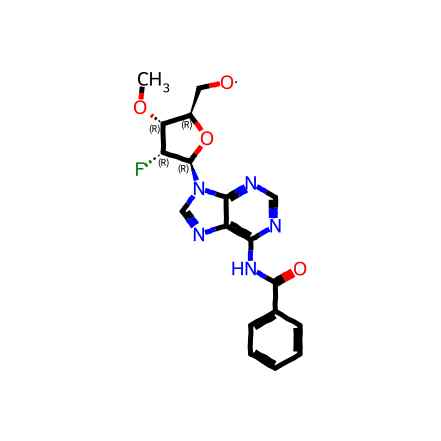 CO[C@H]1[C@@H](F)[C@H](n2cnc3c(NC(=O)c4ccccc4)ncnc32)O[C@@H]1C[O]